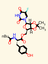 CCCCC(=O)N[C@@H](Cc1ccc(O)cc1)C(=O)OC[C@H]1O[C@@H](n2cc(F)c(=O)[nH]c2=O)[C@@H]2OC(C)(C)O[C@@H]21